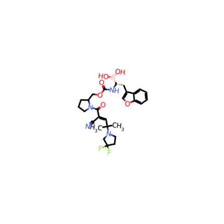 CC(C)(C=C(C#N)C(=O)N1CCCC1COC(=O)N[C@@H](Cc1coc2ccccc12)B(O)O)N1CCC(F)(F)C1